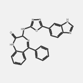 O=C1Nc2ccccc2C(c2ccccc2)=NC1Nc1nnc(-c2ccc3nc[nH]c3c2)o1